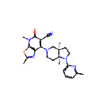 Cc1cccc(N2CC[C@@H]3CN(c4c(C#N)c(=O)n(C)c5sc(C)nc45)CC[C@@H]32)n1